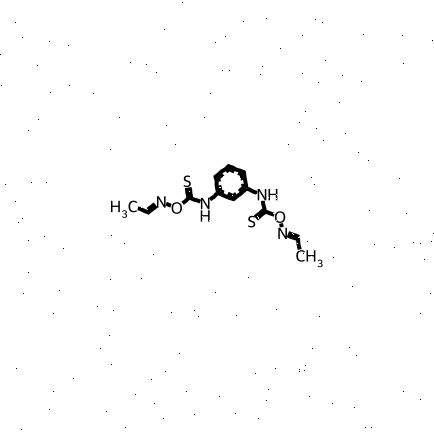 CC=NOC(=S)Nc1cccc(NC(=S)ON=CC)c1